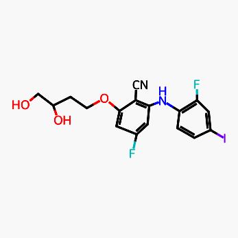 N#Cc1c(Nc2ccc(I)cc2F)cc(F)cc1OCCC(O)CO